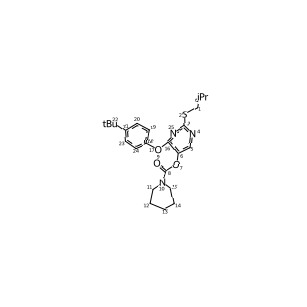 CC(C)CSc1ncc(OC(=O)N2CCCCC2)c(Oc2ccc(C(C)(C)C)cc2)n1